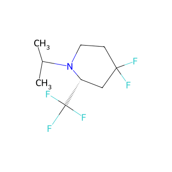 CC(C)N1CCC(F)(F)C[C@@H]1C(F)(F)F